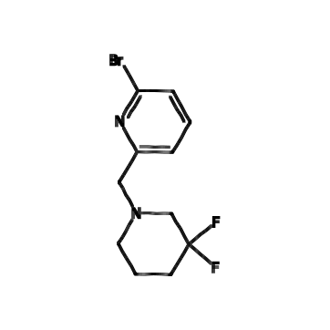 FC1(F)CCCN(Cc2cccc(Br)n2)C1